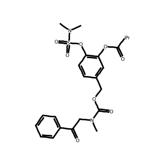 CC(C)C(=O)Oc1cc(COC(=O)N(C)CC(=O)c2ccccc2)ccc1OS(=O)(=O)N(C)C